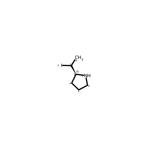 CC(I)[C@@H]1CCCN1